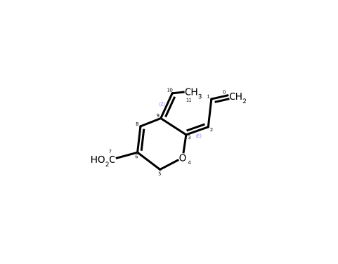 C=C/C=C1/OCC(C(=O)O)=C/C1=C/C